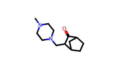 CN1CCN(CC2C(=O)C3CCC2C3)CC1